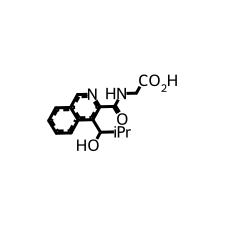 CC(C)C(O)c1c(C(=O)NCC(=O)O)ncc2ccccc12